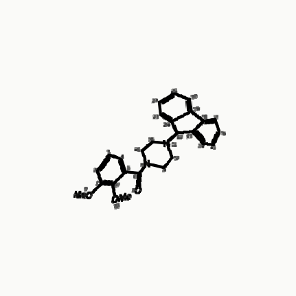 COc1cccc(C(=O)N2CCN(C3c4ccccc4-c4ccccc43)CC2)c1OC